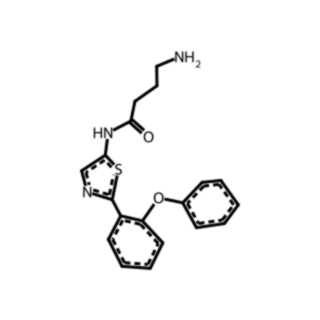 NCCCC(=O)Nc1cnc(-c2ccccc2Oc2ccccc2)s1